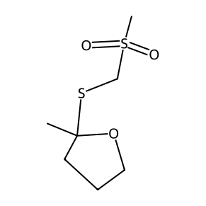 CC1(SCS(C)(=O)=O)CCCO1